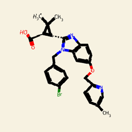 Cc1ccc(COc2ccc3nc([C@@H]4[C@@H](C(=O)O)C4(C)C)n(Cc4ccc(Br)cc4)c3c2)nc1